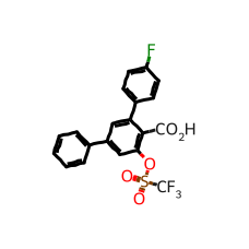 O=C(O)c1c(OS(=O)(=O)C(F)(F)F)cc(-c2ccccc2)cc1-c1ccc(F)cc1